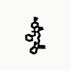 CCN1/C(=C/C=C/C2=[N+](C)c3cc(Br)ccc3C2(C)Cc2ccccc2)Sc2ccccc21